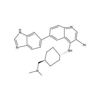 CC(=O)c1cnc2ccc(-c3ccc4nc[nH]c4c3)cc2c1N[C@H]1CC[C@H](CN(C)C)CC1